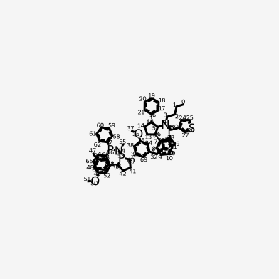 CCCCN(C1[C@@H](c2ccccc2)CC[C@@H]1c1ccccc1)P(c1ccsc1)c1csc(Cc2cc(OC)cc([C@@H]3CC[C@@H](c4cc(C)cc(OC)c4)P3N(C)P(c3ccccc3)c3ccccc3)c2)c1